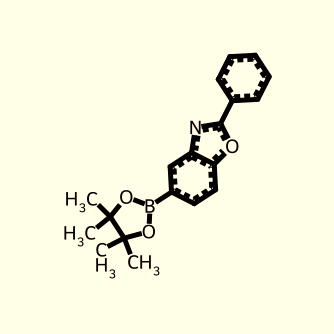 CC1(C)OB(c2ccc3oc(-c4ccccc4)nc3c2)OC1(C)C